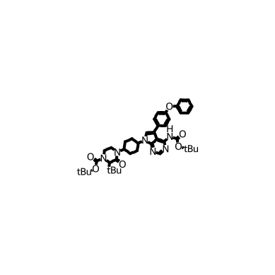 CC(C)(C)OC(=O)Nc1ncnc2c1c(-c1ccc(Oc3ccccc3)cc1)cn2C1CCC(N2CCN(C(=O)OC(C)(C)C)C(C(C)(C)C)C2=O)CC1